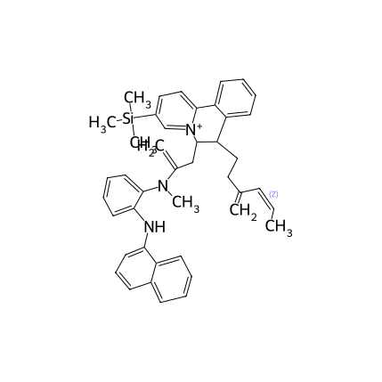 C=C(/C=C\C)CCC1c2ccccc2-c2ccc([Si](C)(C)C)c[n+]2C1CC(=C)N(C)c1ccccc1Nc1cccc2ccccc12